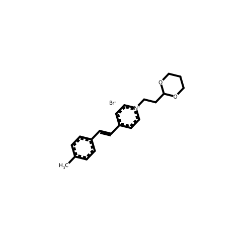 Cc1ccc(C=Cc2cc[n+](CCC3OCCCO3)cc2)cc1.[Br-]